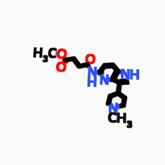 COC(=O)CCC(=O)Nc1ccc2[nH]cc(C3CCN(C)CC3)c2n1